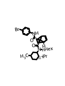 CCCCCCN(C(=O)[C@H]1[C@H](C(=O)Nc2ccc(Br)cc2)C2C=C[C@H]1C21CC1)C1CC(C)CC[C@H]1C(C)C